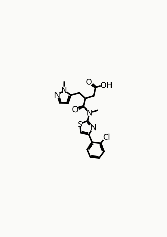 CN(C(=O)C(CC(=O)O)Cc1ccnn1C)c1nc(-c2ccccc2Cl)cs1